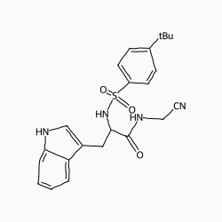 CC(C)(C)c1ccc(S(=O)(=O)NC(Cc2c[nH]c3ccccc23)C(=O)NCC#N)cc1